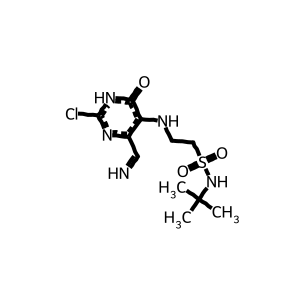 CC(C)(C)NS(=O)(=O)CCNc1c(C=N)nc(Cl)[nH]c1=O